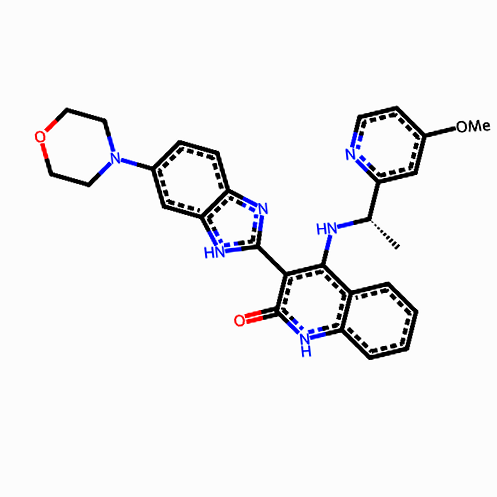 COc1ccnc([C@H](C)Nc2c(-c3nc4ccc(N5CCOCC5)cc4[nH]3)c(=O)[nH]c3ccccc23)c1